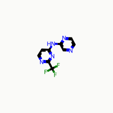 FC(F)(F)c1nccc(Nc2cnccn2)n1